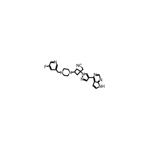 N#CCC1(n2cc(-c3ncnc4[nH]ccc34)cn2)CC(N2CCN(Cc3cncc(F)c3)CC2)C1